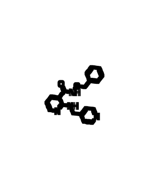 O=C(NOCc1ccccc1)c1cccnc1NCc1ccncc1